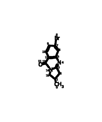 CC1Cc2nc3cc(Br)ccc3c(=O)n2C1